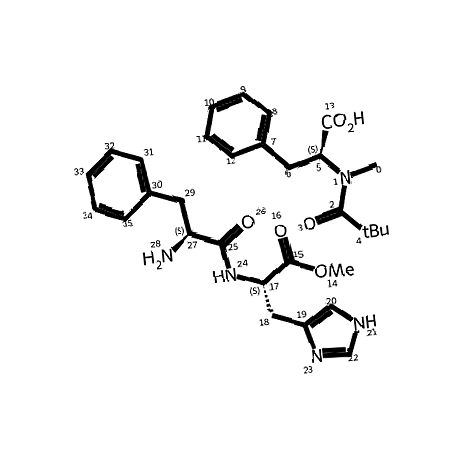 CN(C(=O)C(C)(C)C)[C@@H](Cc1ccccc1)C(=O)O.COC(=O)[C@H](Cc1c[nH]cn1)NC(=O)[C@@H](N)Cc1ccccc1